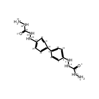 NNC(=O)NNc1ccc(-c2ccc(NNC(=O)NN)cc2)cc1